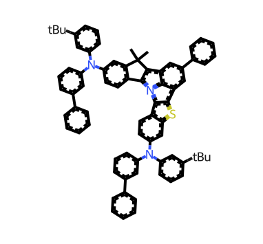 CC(C)(C)c1cccc(N(c2cccc(-c3ccccc3)c2)c2ccc3c(c2)C(C)(C)c2c-3n3c4c2cc(-c2ccccc2)cc4c2sc4cc(N(c5cccc(-c6ccccc6)c5)c5cccc(C(C)(C)C)c5)ccc4c23)c1